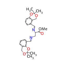 COC(=O)C(C/N=C/c1cccc2c1OC(C)(C)OC2)/N=C/c1cccc2c1COC(C)(C)O2